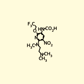 CN(C)CCN(C)c1nc(OCC(F)(F)F)c(NC(=O)O)cc1[N+](=O)[O-]